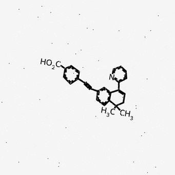 CC1(C)CC=C(c2ccccn2)c2cc(C#Cc3ccc(C(=O)O)cc3)ccc21